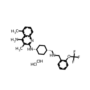 Cc1c(N[C@H]2CC[C@@H](CNCc3ccccc3OC(F)(F)F)CC2)nc2cccc(C)c2c1N.Cl.Cl